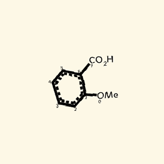 [CH]Oc1ccccc1C(=O)O